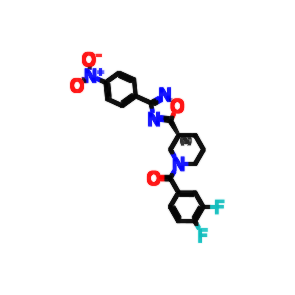 O=C(c1ccc(F)c(F)c1)N1CCC[C@H](c2nc(-c3ccc([N+](=O)[O-])cc3)no2)C1